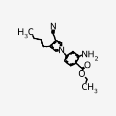 CCCCc1cn(-c2ccc(C(=O)OCC)c(N)c2)cc1C#N